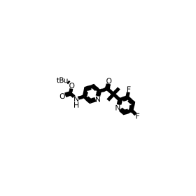 CC(C)(C)OC(=O)Nc1ccc(C(=O)C(C)(C)c2ncc(F)cc2F)nc1